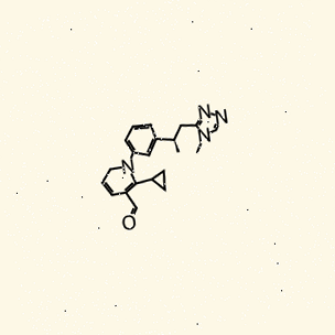 C[C@H](Cc1nncn1C)c1cccc(N2CC=CC(C=O)=C2C2CC2)c1